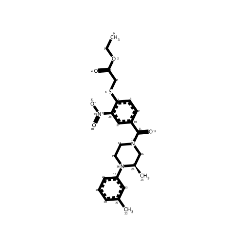 CCOC(=O)CSc1ccc(C(=O)N2CCN(c3cccc(C)c3)[C@H](C)C2)cc1[N+](=O)[O-]